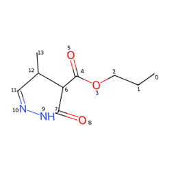 CCCOC(=O)C1C(=O)NN=[C]C1C